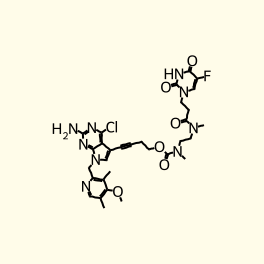 COc1c(C)cnc(Cn2cc(C#CCCOC(=O)N(C)CCN(C)C(=O)CCn3cc(F)c(=O)[nH]c3=O)c3c(Cl)nc(N)nc32)c1C